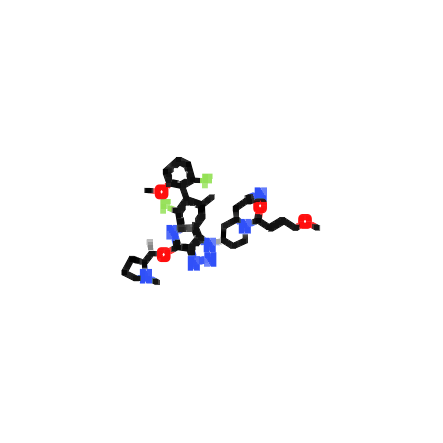 COC/C=C/C(=O)N1CC[C@H](n2nnc3c(O[C@@H](C)[C@@H]4CCCN4C)nc4c(F)c(-c5c(F)cccc5OC)c(C)cc4c32)C[C@H]1CC#N